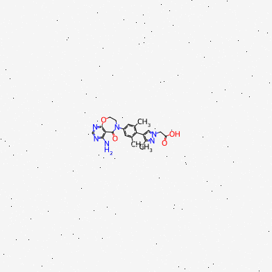 Cc1cc(N2CCOc3ncnc(N)c3C2=O)cc(C)c1-c1cn(CC(=O)O)nc1C